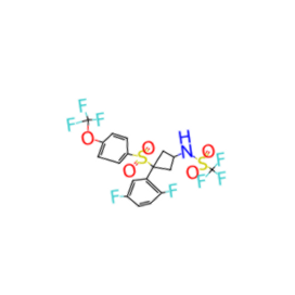 O=S(=O)(NC1CC(c2cc(F)ccc2F)(S(=O)(=O)c2ccc(OC(F)(F)F)cc2)C1)C(F)(F)F